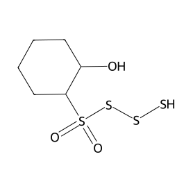 O=S(=O)(SSS)C1CCCCC1O